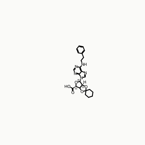 O=C(O)[C@H]1O[C@@H](n2cnc3c(NCCc4ccccc4)ncnc32)[C@H]2OC3(CCCCC3)OC12